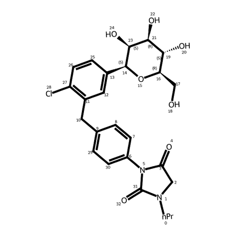 CCCN1CC(=O)N(c2ccc(Cc3cc([C@@H]4O[C@H](CO)[C@@H](O)[C@H](O)[C@@H]4O)ccc3Cl)cc2)C1=O